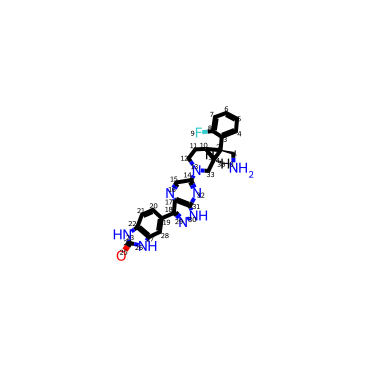 NC[C@]1(c2ccccc2F)[C@@H]2CCN(c3cnc4c(-c5ccc6[nH]c(=O)[nH]c6c5)n[nH]c4n3)C[C@@H]21